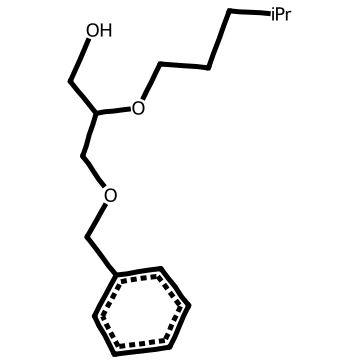 CC(C)CCCOC(CO)COCc1ccccc1